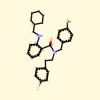 CC(C)(C)c1ccc(CN(CCc2ccc(F)cc2)C(=O)c2ccccc2NCC2CCCCC2)cc1